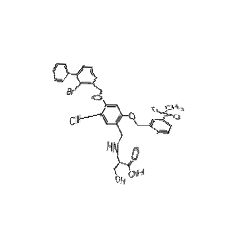 CS(=O)(=O)c1cccc(COc2cc(OCc3cccc(-c4ccccc4)c3Br)c(Cl)cc2CNC(CO)C(=O)O)c1